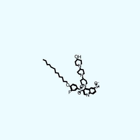 CCCCCCCCCCCCOc1ccc(S(=O)(=O)c2cnc3ccc([S+](C)[O-])cc3c2N2CCC(N3CCC(N4CCC(O)CC4)CC3)CC2)cc1F